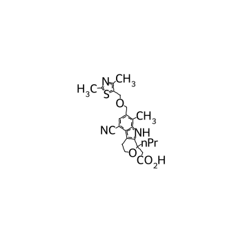 CCCC1(CC(=O)O)OCCc2c1[nH]c1c(C)c(COCc3sc(C)nc3C)cc(C#N)c21